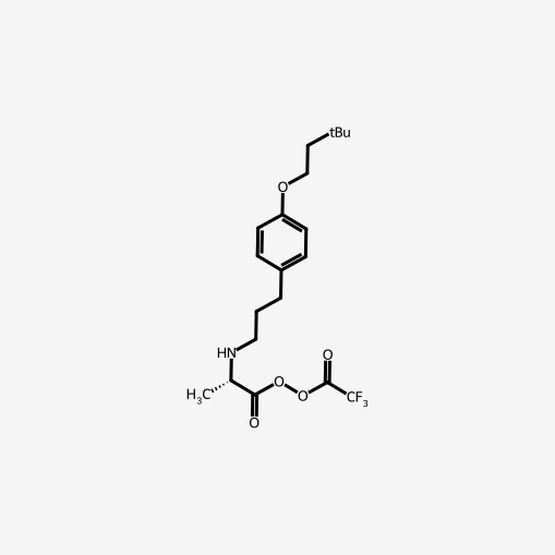 C[C@H](NCCCc1ccc(OCCC(C)(C)C)cc1)C(=O)OOC(=O)C(F)(F)F